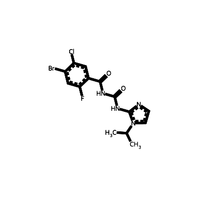 CC(C)n1ccnc1NC(=O)NC(=O)c1cc(Cl)c(Br)cc1F